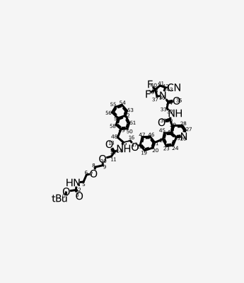 CC(C)(C)OC(=O)NCCOCCOCC(=O)N[C@H](COc1ccc(-c2ccc3nccc(C(=O)NCC(=O)N4CC(F)(F)C[C@H]4C#N)c3c2)cc1)Cc1ccc2ccccc2c1